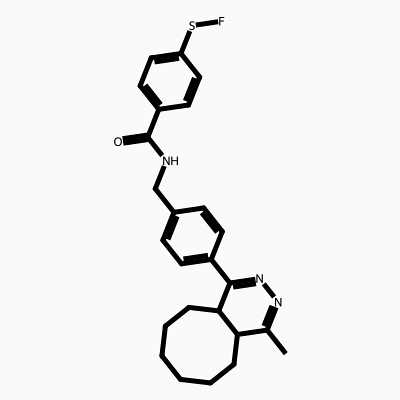 CC1=NN=C(c2ccc(CNC(=O)c3ccc(SF)cc3)cc2)C2CCCCCCC12